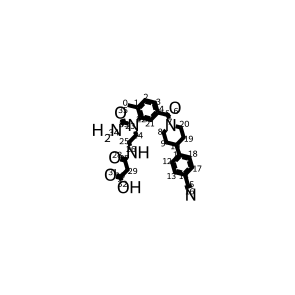 Cc1ccc(C(=O)N2CCC(c3ccc(C#N)cc3)CC2)cc1N(CCNC(=O)CC(=O)O)C(N)=O